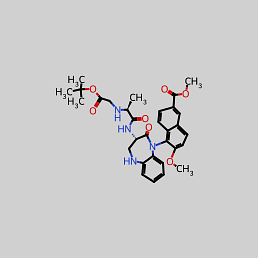 COC(=O)c1ccc2c(N3C(=O)[C@@H](NC(=O)[C@H](C)NCC(=O)OC(C)(C)C)CNc4ccccc43)c(OC)ccc2c1